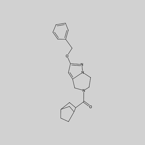 O=C(C1CC2CCC1C2)N1CCn2nc(OCc3ccccc3)cc2C1